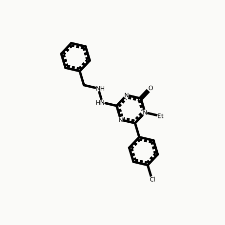 CCn1c(-c2ccc(Cl)cc2)nc(NNCc2ccccc2)nc1=O